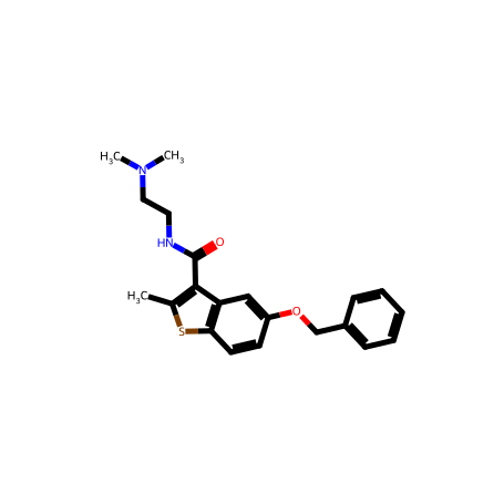 Cc1sc2ccc(OCc3ccccc3)cc2c1C(=O)NCCN(C)C